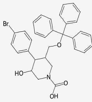 O=C(O)N1CC(O)C(c2ccc(Br)cc2)C(COC(c2ccccc2)(c2ccccc2)c2ccccc2)C1